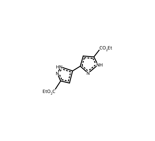 CCOC(=O)c1cc(-c2cc(C(=O)OCC)[nH]n2)[nH]n1